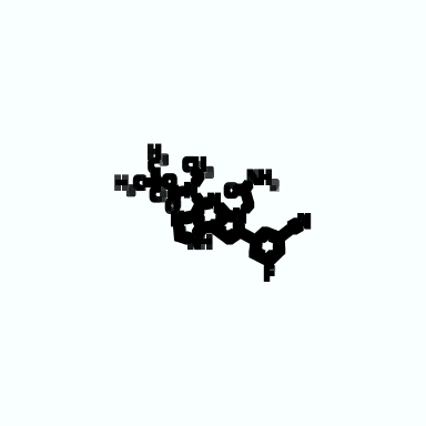 CCN(C(=O)OC(C)(C)C)c1nc2c(cc(-c3cc(F)cc(C#N)c3)n2CC(N)=O)c2[nH]cnc12